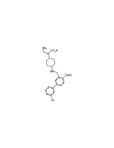 COc1ccc(-c2cccc(C(C)=O)c2)cc1CNC1CCC(N(CC(C)(C)C)C(=O)O)CC1